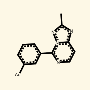 CC(=O)c1cccc(-c2nccc3nc(C)nn23)c1